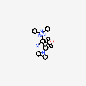 N#Cc1cc(-c2nc(-c3ccccc3)nc(-c3ccccc3)n2)cc2c1-c1cc(-n3c4ccccc4c4ccccc43)ccc1C21c2ccccc2Oc2ccccc21